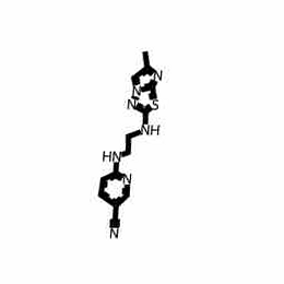 Cc1cn2nc(NCCNc3ccc(C#N)cn3)sc2n1